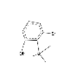 C[Si](C)(C)c1c(O)cccc1Br